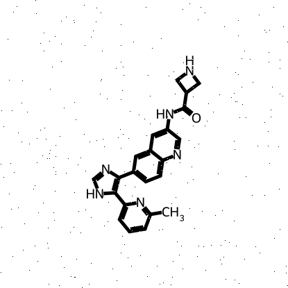 Cc1cccc(-c2[nH]cnc2-c2ccc3ncc(NC(=O)C4CNC4)cc3c2)n1